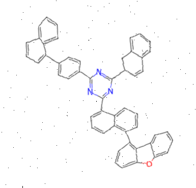 C1=CC(c2nc(-c3ccc(-c4cccc5ccccc45)cc3)nc(-c3cccc4c(-c5cccc6oc7ccccc7c56)cccc34)n2)Cc2ccccc21